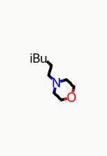 CCC(C)CCN1CCOCC1